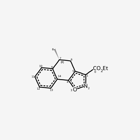 CCOC(=O)c1noc2c1C[C@@H](C)c1ccccc1-2